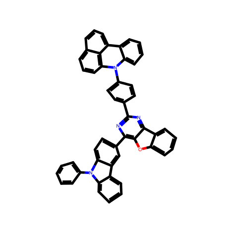 c1ccc(-n2c3ccccc3c3cc(-c4nc(-c5ccc(N6c7ccccc7-c7cccc8cccc6c78)cc5)nc5c4oc4ccccc45)ccc32)cc1